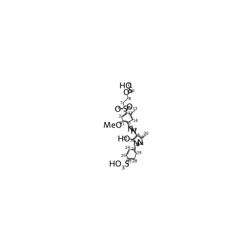 COc1cc(S(=O)(=O)CCOSO)c(C)cc1/N=N/c1c(C)nn(-c2ccc(S(=O)(=O)O)cc2)c1O